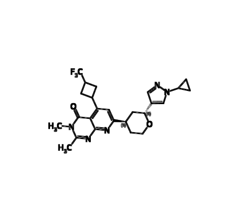 Cc1nc2nc([C@@H]3CCO[C@@H](c4cnn(C5CC5)c4)C3)cc(C3CC(C(F)(F)F)C3)c2c(=O)n1C